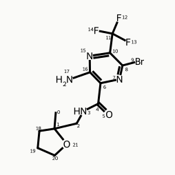 CC1(CNC(=O)c2nc(Br)c(C(F)(F)F)nc2N)CCCO1